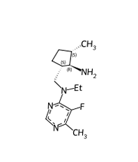 CCN(C[C@@H]1CC[C@H](C)[C@H]1N)c1ncnc(C)c1F